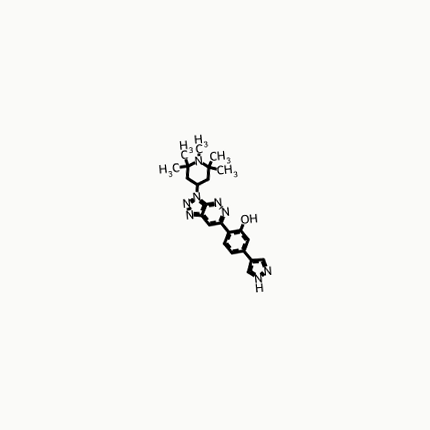 CN1C(C)(C)CC(n2nnc3cc(-c4ccc(-c5cn[nH]c5)cc4O)nnc32)CC1(C)C